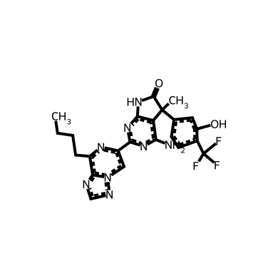 CCCCc1nc(-c2nc(N)c3c(n2)NC(=O)C3(C)c2ccc(C(F)(F)F)c(O)c2)cn2ncnc12